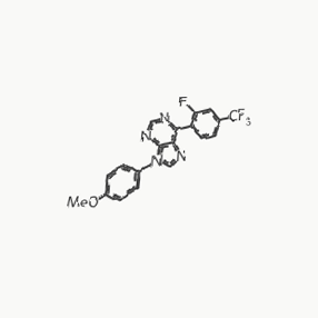 COc1ccc(-n2cnc3c(-c4ccc(C(F)(F)F)cc4F)ncnc32)cc1